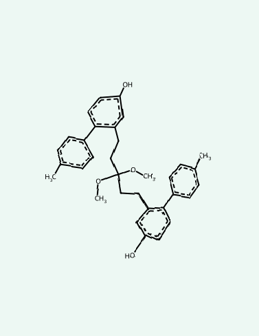 COC(CCc1cc(O)ccc1-c1ccc(C)cc1)(CCc1cc(O)ccc1-c1ccc(C)cc1)OC